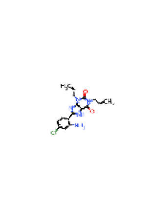 C=CCn1c(=O)c2[nH]c(-c3ccc(Cl)cc3N)nc2n(CC=C)c1=O